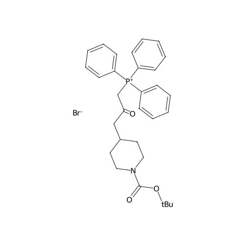 CC(C)(C)OC(=O)N1CCC(CC(=O)C[P+](c2ccccc2)(c2ccccc2)c2ccccc2)CC1.[Br-]